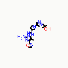 Cc1c(-c2ncco2)nc(N)n2nc([C@@H]3CCN(c4cnn(CC(C)(C)O)c4)C3)nc12